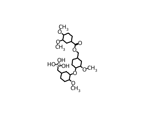 COC1CCC(C(=O)OCC2CCC(OC3CC(C[Si](O)(O)O)CCC3OC)C(OC)C2)CC1OC